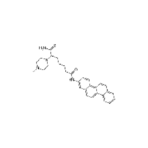 CN1CCN(C(CCCCC(=O)Nc2ccc3c(ccc4c5ccccc5ccc34)c2)C(N)=O)CC1